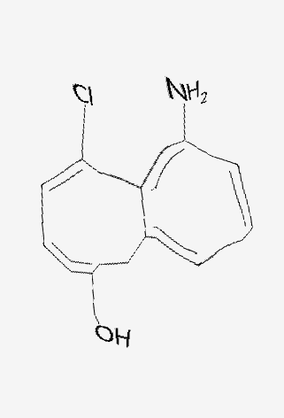 Nc1cccc2c(O)ccc(Cl)c12